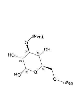 CCCCCOC[C@H]1O[C@H](O)[C@H](O)[C@@H](OCCCCC)[C@@H]1O